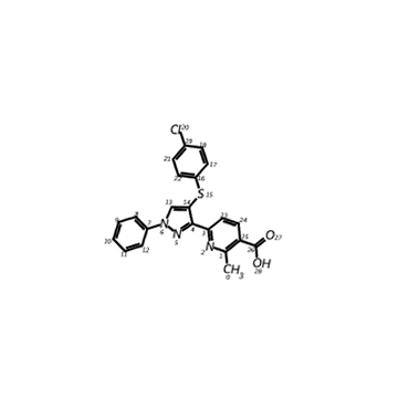 Cc1nc(-c2nn(-c3ccccc3)cc2Sc2ccc(Cl)cc2)ccc1C(=O)O